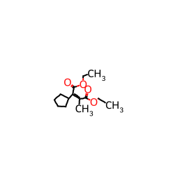 CCOC(=O)/C(C)=C(\C(=O)OCC)C1CCCC1